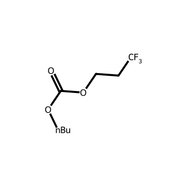 CCCCOC(=O)OCCC(F)(F)F